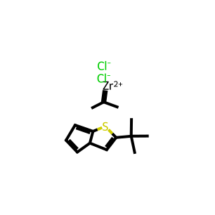 CC(C)(C)C1=CC2C=CC=C2S1.C[C](C)=[Zr+2].[Cl-].[Cl-]